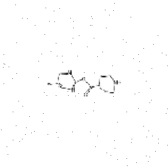 O=C(Oc1ncc(F)cn1)C1CCNCC1